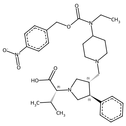 CCN(C(=O)OCc1ccc([N+](=O)[O-])cc1)C1CCN(C[C@H]2CN([C@@H](C(=O)O)C(C)C)C[C@@H]2c2ccccc2)CC1